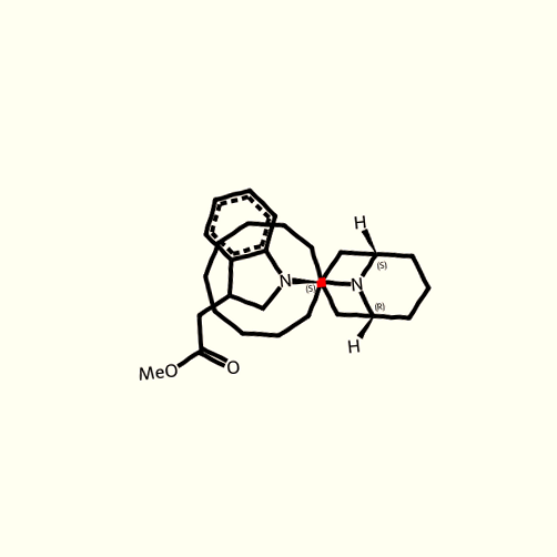 COC(=O)CC1CN([C@@H]2C[C@H]3CCC[C@@H](C2)N3C2CCCCCCCCC2)c2ccccc21